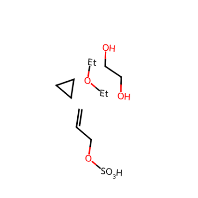 C1CC1.C=CCOS(=O)(=O)O.CCOCC.OCCO